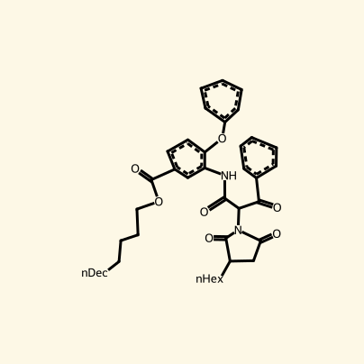 CCCCCCCCCCCCCCOC(=O)c1ccc(Oc2ccccc2)c(NC(=O)C(C(=O)c2ccccc2)N2C(=O)CC(CCCCCC)C2=O)c1